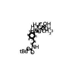 CC(C)(C)OC(=O)NCCc1cccc(NOC(C)(C)C(C)(C)O)c1